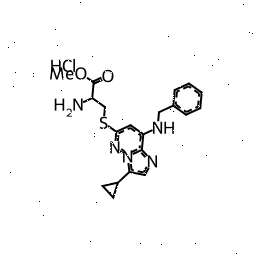 COC(=O)C(N)CSc1cc(NCc2ccccc2)c2ncc(C3CC3)n2n1.Cl